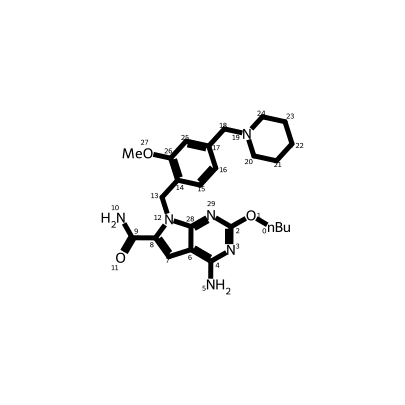 CCCCOc1nc(N)c2cc(C(N)=O)n(Cc3ccc(CN4CC[CH]CC4)cc3OC)c2n1